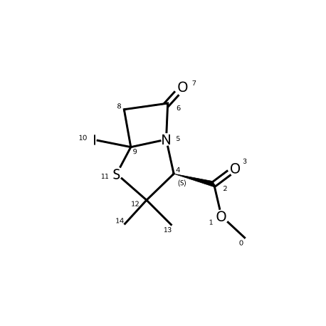 COC(=O)[C@@H]1N2C(=O)CC2(I)SC1(C)C